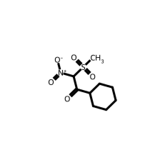 CS(=O)(=O)C(C(=O)C1CCCCC1)[N+](=O)[O-]